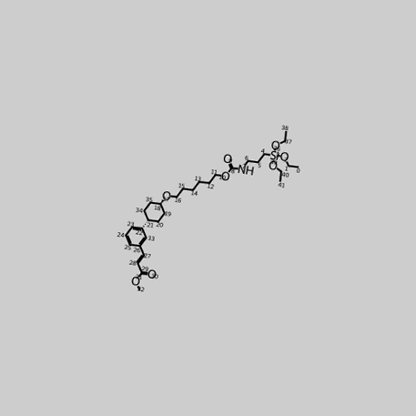 CCO[Si](CCCNC(=O)OCCCCCCO[C@H]1CC[C@H](c2cccc(C=CC(=O)OC)c2)CC1)(OCC)OCC